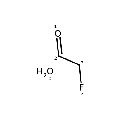 O.O=CCF